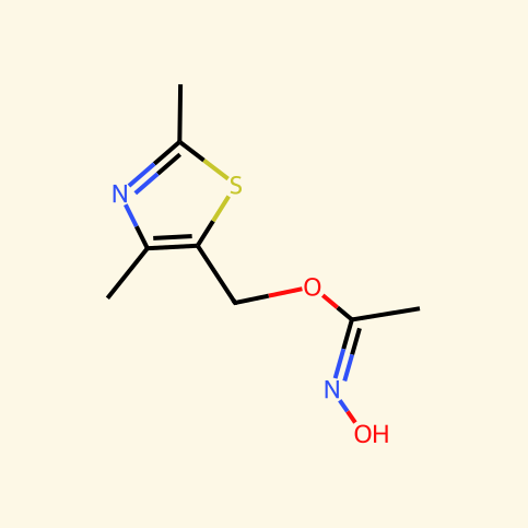 CC(=NO)OCc1sc(C)nc1C